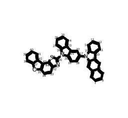 c1ccc2cc3c(cc2c1)c1ccccc1n3-c1ccc2c(c1)c1ccccc1n2-c1nc2ccc3oc4ccccc4c3c2s1